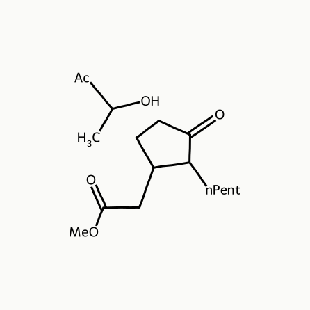 CC(=O)C(C)O.CCCCCC1C(=O)CCC1CC(=O)OC